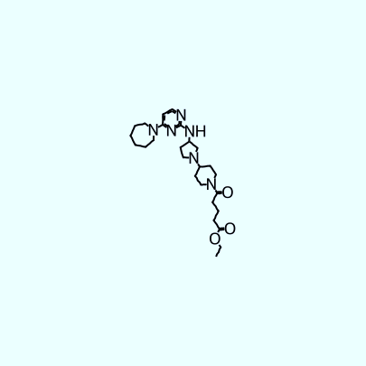 CCOC(=O)CCCC(=O)N1CCC(N2CCC(Nc3nccc(N4CCCCCC4)n3)C2)CC1